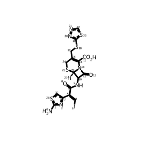 Nc1nc(C(=CI)C(=O)NC2C(=O)N3C(C(=O)O)=C(CSc4nncs4)CS[C@@H]23)cs1